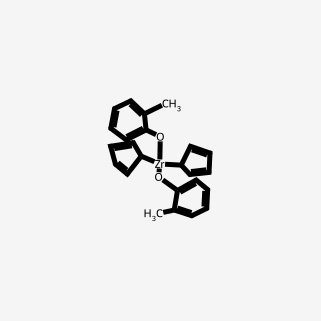 Cc1ccccc1[O][Zr]([O]c1ccccc1C)([CH]1C=CC=C1)[CH]1C=CC=C1